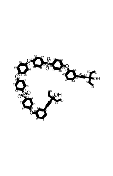 CCC(O)(C#Cc1cccc(Oc2ccc(S(=O)(=O)c3ccc(Oc4ccc(Oc5ccc(S(=O)(=O)c6ccc(Oc7cccc(C#CC(O)(CC)CC)c7)cc6)cc5)cc4)cc3)cc2)c1)CC